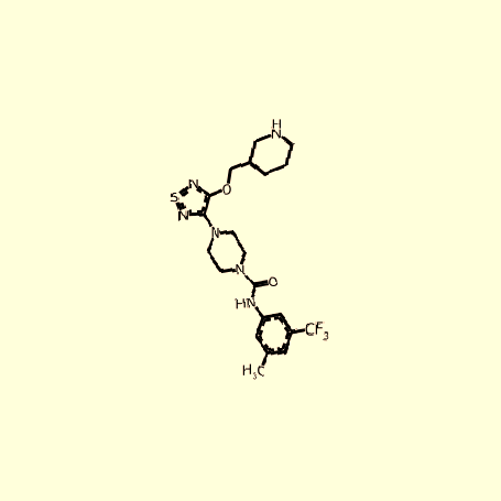 Cc1cc(NC(=O)N2CCN(c3nsnc3OCC3CCCNC3)CC2)cc(C(F)(F)F)c1